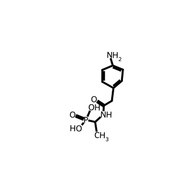 CC(NC(=O)Cc1ccc(N)cc1)P(=O)(O)O